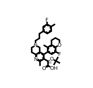 Cc1ccc(CCCN2CCc3nc(C)c([C@H](OC(C)(C)C)C(=O)O)c(-c4cc(F)c5c(c4C)CCCO5)c3C2)cc1F